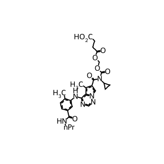 CCCNC(=O)c1ccc(C)c(Nc2ncnn3cc(C(=O)N(C(=O)OCOC(=O)CCC(=O)O)C4CC4)c(C)c23)c1